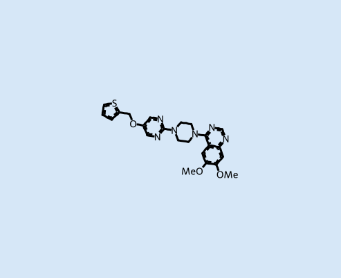 COc1cc2ncnc(N3CCN(c4ncc(OCc5cccs5)cn4)CC3)c2cc1OC